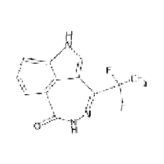 O=C1NN=C(C(F)(F)C(F)(F)F)c2c[nH]c3cccc1c23